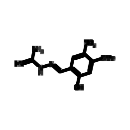 COc1cc(O)c(C=NNC(=N)N)cc1[N+](=O)[O-]